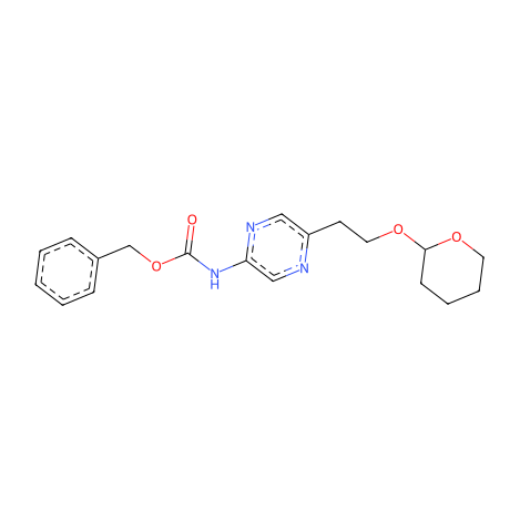 O=C(Nc1cnc(CCOC2CCCCO2)cn1)OCc1ccccc1